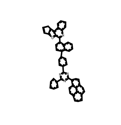 C1=Cc2oc3c(-c4ccc(-c5ccc(-c6nc(-c7ccccc7)nc(-c7ccc8ccc9cccc%10ccc7c8c9%10)n6)cc5)c5ccccc45)nc4ccccc4c3c2C1